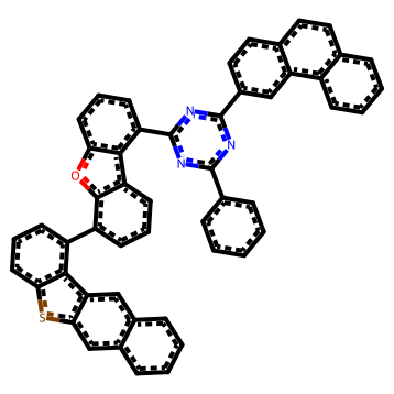 c1ccc(-c2nc(-c3ccc4ccc5ccccc5c4c3)nc(-c3cccc4oc5c(-c6cccc7sc8cc9ccccc9cc8c67)cccc5c34)n2)cc1